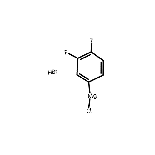 Br.Fc1cc[c]([Mg][Cl])cc1F